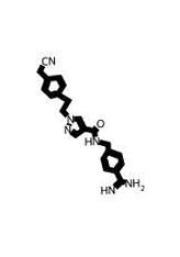 N#CCc1ccc(CCn2cc(C(=O)NCc3ccc(C(=N)N)cc3)cn2)cc1